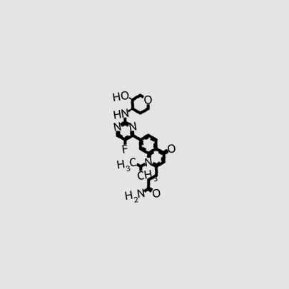 CC(C)n1c(CCC(N)=O)cc(=O)c2ccc(-c3nc(N[C@@H]4CCOC[C@H]4O)ncc3F)cc21